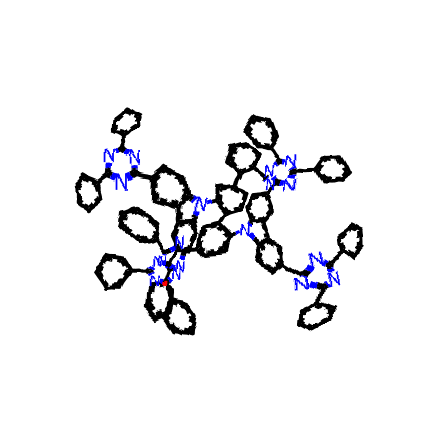 N#Cc1ccccc1-c1ccc(-c2cc(-c3nc(-c4ccccc4)nc(-c4ccccc4)n3)ccc2-n2c3ccc(-c4nc(-c5ccccc5)nc(-c5ccccc5)n4)cc3c3cc(-c4nc(-c5ccccc5)nc(-c5ccccc5)n4)ccc32)c(-n2c3ccc(-c4nc(-c5ccccc5)nc(-c5ccccc5)n4)cc3c3cc(-c4nc(-c5ccccc5)nc(-c5ccccc5)n4)ccc32)c1